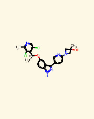 Cc1ncc(Cl)c([C@@H](C)Oc2ccc3[nH]nc(-c4ccc(N5CC(C)(O)C5)nc4)c3c2)c1Cl